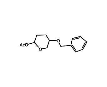 CC(=O)OC1CCC(OCc2ccccc2)CO1